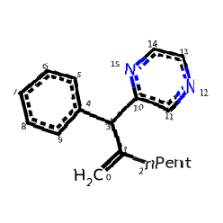 C=C(CCCCC)[C](c1ccccc1)c1cnccn1